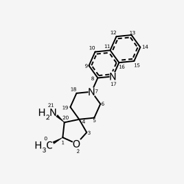 C[C@@H]1OCC2(CCN(c3ccc4ccccc4n3)CC2)[C@@H]1N